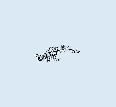 CC(=O)OCCSc1nnc(SCC2=C(C(=O)[O-])N3C(=O)C(NC(=O)Cc4csc(=O)[nH]4)[C@H]3SC2)s1.[Na+]